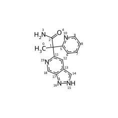 CC(C(N)=O)(c1ccccn1)c1cc2c[nH]nc2cn1